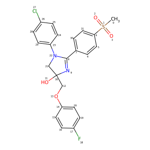 CS(=O)(=O)c1ccc(C2=NC(O)(COc3ccc(F)cc3)CN2c2ccc(Cl)cc2)cc1